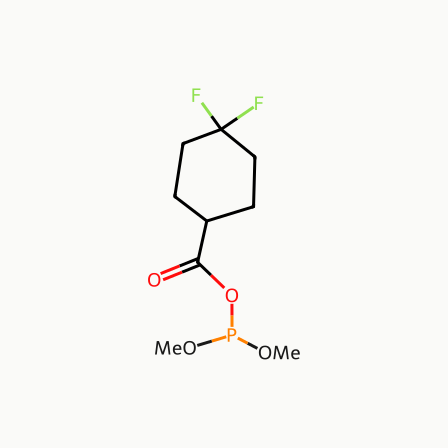 COP(OC)OC(=O)C1CCC(F)(F)CC1